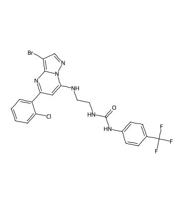 O=C(NCCNc1cc(-c2ccccc2Cl)nc2c(Br)cnn12)Nc1ccc(C(F)(F)F)cc1